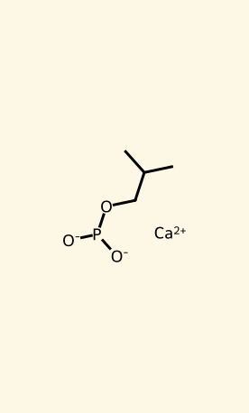 CC(C)COP([O-])[O-].[Ca+2]